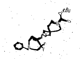 CC(C)(C)OC(=O)N1CCC2(CC1)CN(C1=CCN(Cc3ccccc3)CC1(F)F)C2